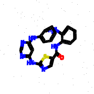 Nc1ccccc1NC(=O)c1cnc(Nc2cc(Nc3ccccc3)ncn2)s1